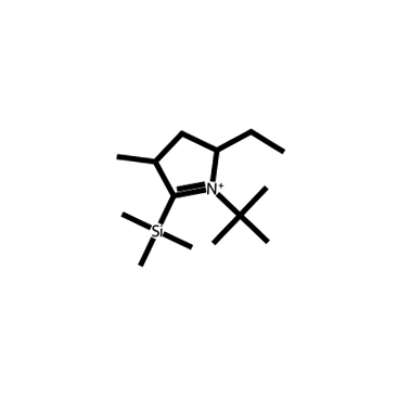 CCC1CC(C)C([Si](C)(C)C)=[N+]1C(C)(C)C